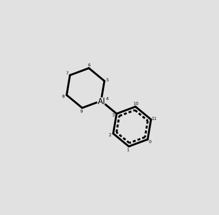 c1cc[c]([Al]2[CH2]CCC[CH2]2)cc1